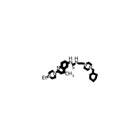 CCN1CCN(c2cc(C)c3cc(NC(=S)NCCN4CCN(CC5CCCCC5)CC4)ccc3n2)CC1